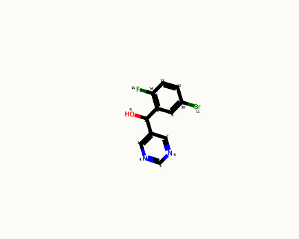 OC(c1cncnc1)c1cc(Br)ccc1F